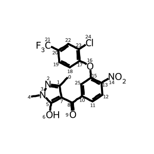 Cc1nn(C)c(O)c1C(=O)c1ccc([N+](=O)[O-])c(Oc2ccc(C(F)(F)F)cc2Cl)c1